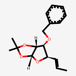 CC=C[C@H]1O[C@@H]2OC(C)(C)O[C@@H]2[C@H]1OCc1ccccc1